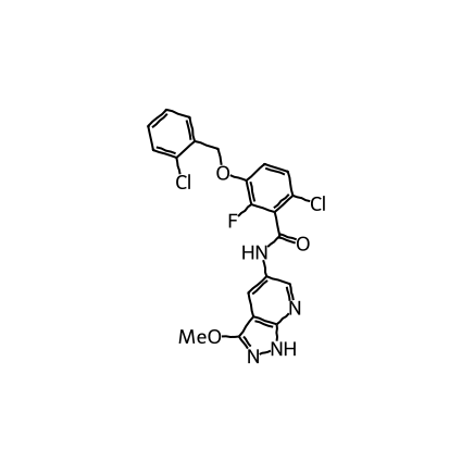 COc1n[nH]c2ncc(NC(=O)c3c(Cl)ccc(OCc4ccccc4Cl)c3F)cc12